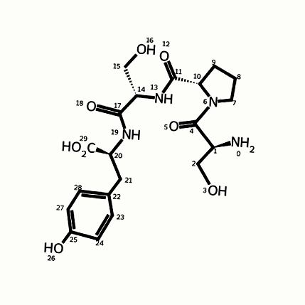 N[C@@H](CO)C(=O)N1CCC[C@H]1C(=O)N[C@@H](CO)C(=O)N[C@@H](Cc1ccc(O)cc1)C(=O)O